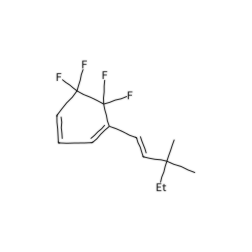 CCC(C)(C)C=CC1=CC=CC(F)(F)C1(F)F